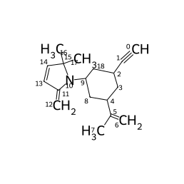 C#CC1CC(C(=C)C)CC(N2C(=C)C=CC2(C)C)C1